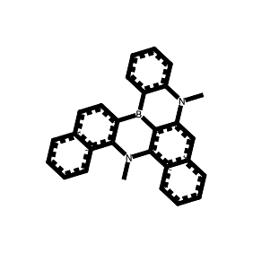 CN1c2ccccc2B2c3ccc4ccccc4c3N(C)c3c2c1cc1ccccc31